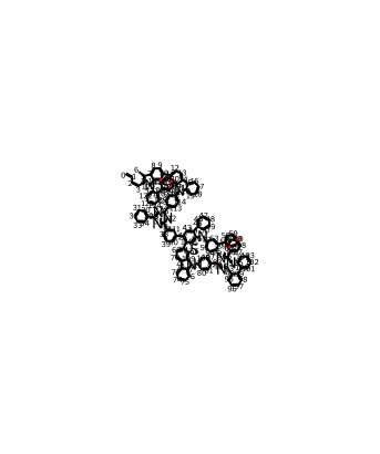 C=C/C=C\c1c(C)c2ccc3c4ccc5c6ccccc6n(-c6ccc(-c7nc(-c8ccccc8)nc(-c8cccc(-c9cc%10c%11ccccc%11n(-c%11cccc(-c%12ccccc%12)c%11)c%10c%10sc%11c(ccc%12c%13ccccc%13n(-c%13ccc(-c%14nc(-c%15ccccc%15)nc(-c%15ccccc%15-c%15ccccc%15)n%14)cc%13)c%12%11)c9%10)c8)n7)cc6)c5c4sc3c2n1-c1ccccc1-c1ccccc1